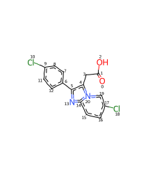 O=C(O)Cc1c(-c2ccc(Cl)cc2)nc2ccc(Cl)cn12